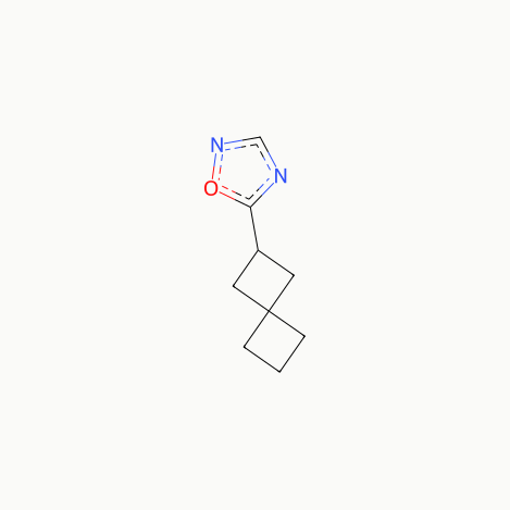 c1noc(C2CC3(CCC3)C2)n1